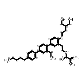 C=C(C)C(O)OCCc1cc(-c2ccc(-c3ccc(CCCCC)cc3)cc2CC)ccc1OCCC(CO)CO